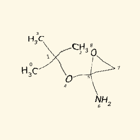 CC(C)(C)OC1(N)CO1